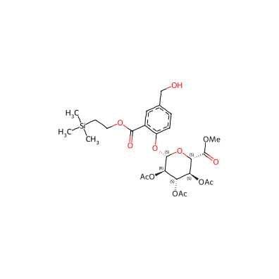 COC(=O)[C@H]1O[C@@H](Oc2ccc(CO)cc2C(=O)OCC[Si](C)(C)C)[C@H](OC(C)=O)[C@@H](OC(C)=O)[C@@H]1OC(C)=O